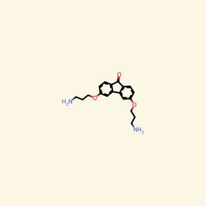 NCCCOc1ccc2c(c1)-c1cc(OCCCN)ccc1C2=O